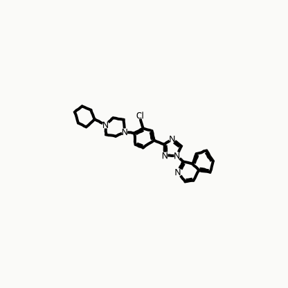 Clc1cc(-c2ncn(-c3nccc4ccccc34)n2)ccc1N1CCN(C2CCCCC2)CC1